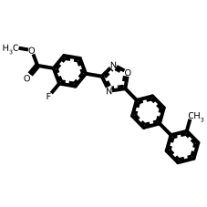 COC(=O)c1ccc(-c2noc(-c3ccc(-c4ccccc4C)cc3)n2)cc1F